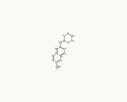 Oc1ccc2nc(OC3CCOCC3)ccc2c1